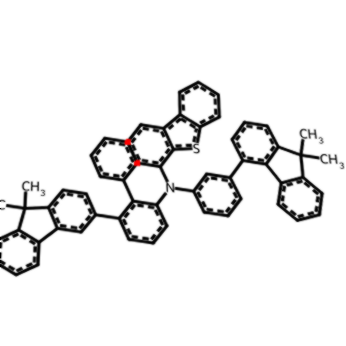 CC1(C)c2ccccc2-c2cc(-c3cccc(N(c4cccc(-c5cccc6c5-c5ccccc5C6(C)C)c4)c4cccc5c4sc4ccccc45)c3-c3ccccc3)ccc21